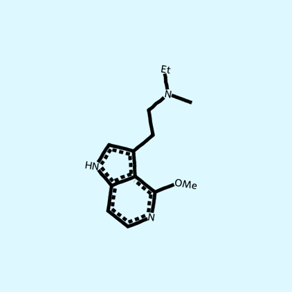 CCN(C)CCc1c[nH]c2ccnc(OC)c12